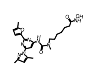 Cc1cc(C)n(-c2cc(NC(=O)N(C)CCCCCCC(=O)NO)nc(-c3ccc(C)o3)n2)n1